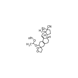 CCCOC(C)OC1CC2=C(CC[C@@H]3C2=CC[C@@]2(C)[C@H]3CC[C@@]2(C#N)CC)CC12CCOO2